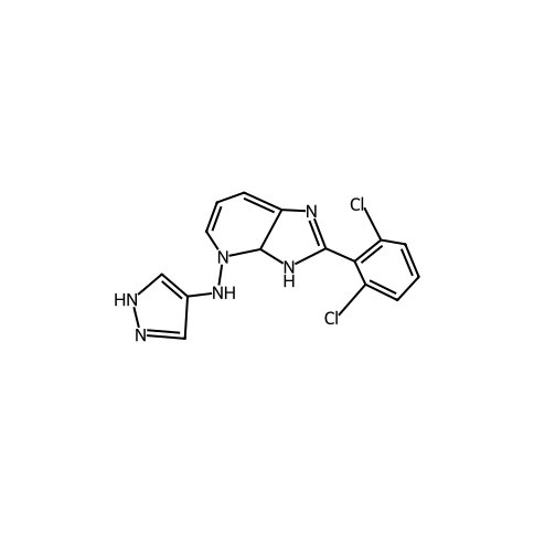 Clc1cccc(Cl)c1C1=NC2=CC=CN(Nc3cn[nH]c3)C2N1